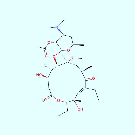 CC/C1=C\[C@](C)(O)[C@@H](CC)OC(=O)[C@H](C)[C@@H](O)[C@H](C)[C@@H](OC2O[C@H](C)C[C@H](N(C)C)[C@H]2OC(C)=O)[C@@](C)(OC)C[C@@H](C)C1=O